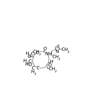 C=C[C@@]12CCC[C@H](C)[C@H](O)[C@@H](C)C(=O)C(C)(C)CCC(=O)N[C@H](/C(C)=C/c3csc(C)n3)C[C@@H]1O2